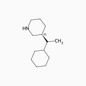 C[C](C1CCCCC1)[C@@H]1CCCNC1